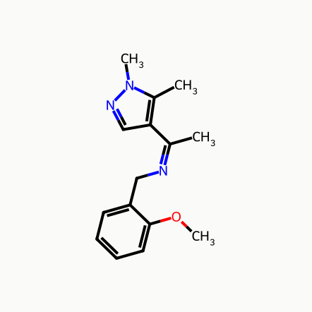 COc1ccccc1CN=C(C)c1cnn(C)c1C